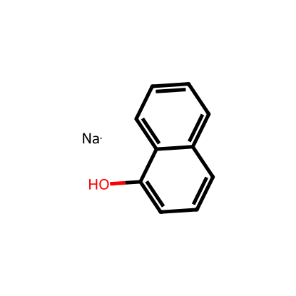 Oc1cccc2ccccc12.[Na]